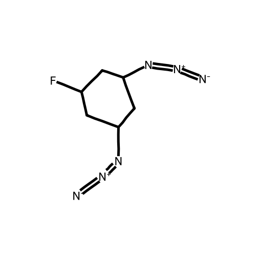 [N-]=[N+]=NC1CC(F)CC(N=[N+]=[N-])C1